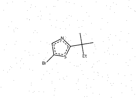 CCC(C)(C)c1ncc(Br)s1